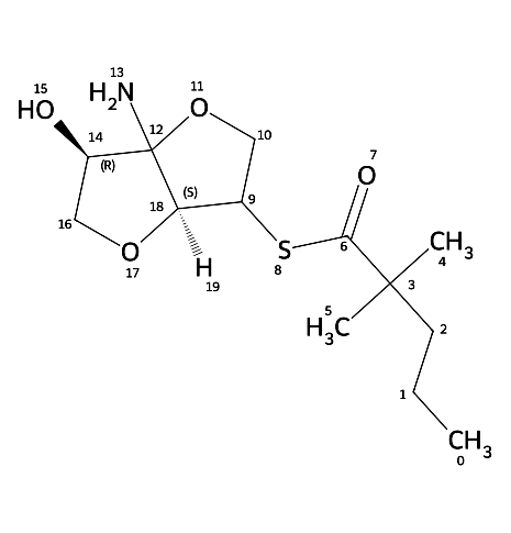 CCCC(C)(C)C(=O)SC1COC2(N)[C@H](O)CO[C@H]12